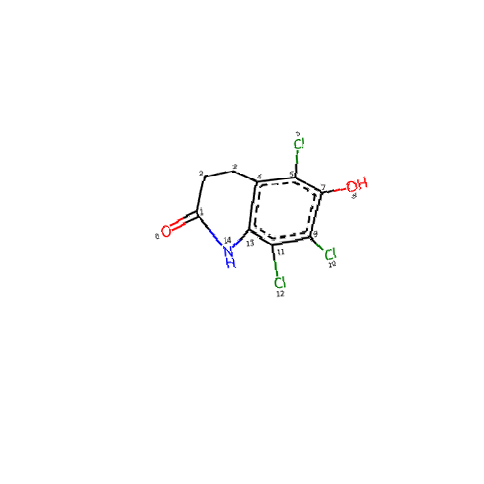 O=C1CCc2c(Cl)c(O)c(Cl)c(Cl)c2N1